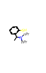 CCCN(CCC)C(C)c1ccccc1S